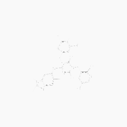 Cc1nc2cc(Cl)c(Nc3nc(=O)n(Cc4cc(Cl)c[nH]c4=O)c(=O)n3Cc3cc(F)c(F)c(F)c3)cc2n1C